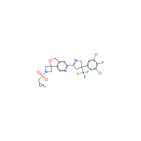 CCS(=O)(=O)N1CC2(C1)OCc1cc(C3=NSC(c4cc(Cl)c(F)c(Cl)c4)(C(F)(F)F)C3)ncc12